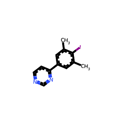 Cc1cc(-c2ccncn2)cc(C)c1I